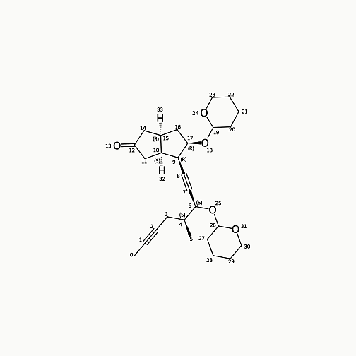 CC#CC[C@H](C)[C@@H](C#C[C@H]1[C@H]2CC(=O)C[C@H]2C[C@H]1OC1CCCCO1)OC1CCCCO1